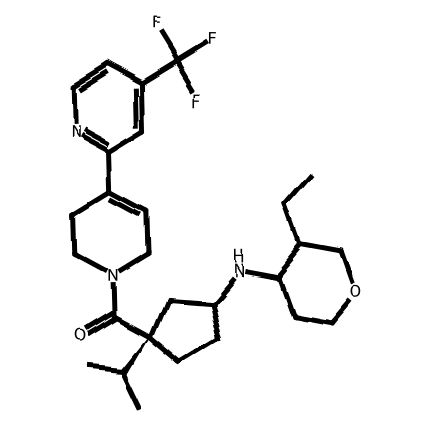 CCC1COCCC1NC1CC[C@@](C(=O)N2CC=C(c3cc(C(F)(F)F)ccn3)CC2)(C(C)C)C1